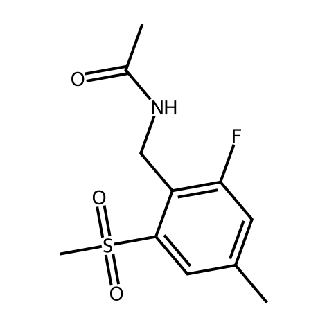 CC(=O)NCc1c(F)cc(C)cc1S(C)(=O)=O